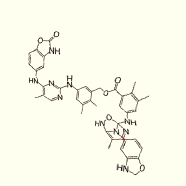 CC1=C2NOC(Nc3cc(C)c(C)c(C(=O)OCc4cc(Nc5ncc(C)c(Nc6ccc7oc(=O)[nH]c7c6)n5)cc(C)c4C)c3)(N=C1)N2c1ccc2c(c1)NCO2